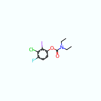 CCN(CC)C(=O)Oc1ccc(F)c(Cl)c1I